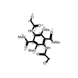 CNC(=O)c1c(NC(=O)CCl)c(OC)c(C(=O)NC)c(NC(=O)CCl)c1OC